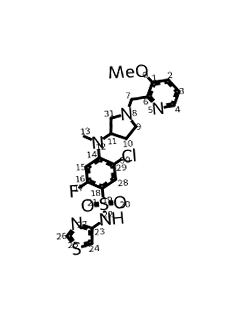 COc1cccnc1CN1CCC(N(C)c2cc(F)c(S(=O)(=O)Nc3cscn3)cc2Cl)C1